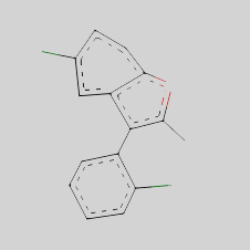 O=C(O)c1oc2ccc(Cl)cc2c1-c1ccccc1F